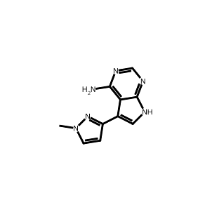 Cn1ccc(-c2c[nH]c3ncnc(N)c23)n1